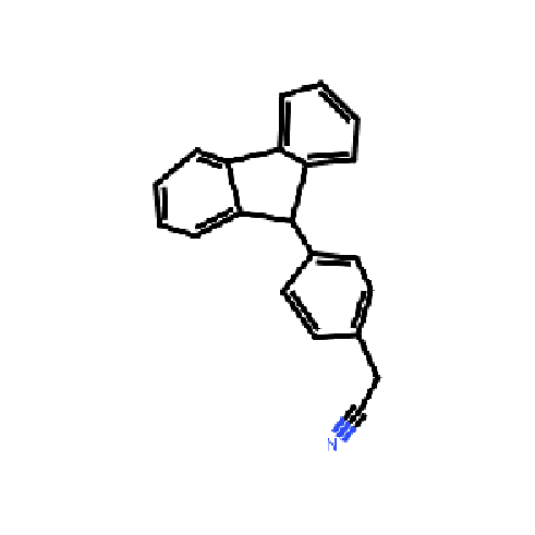 N#CCc1ccc(C2c3ccccc3-c3ccccc32)cc1